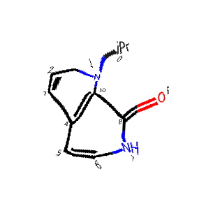 CC(C)n1ccc2cc[nH]c(=O)c21